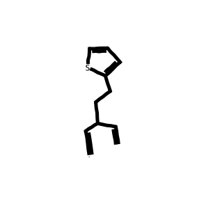 [CH]=CC(C=C)CCc1cccs1